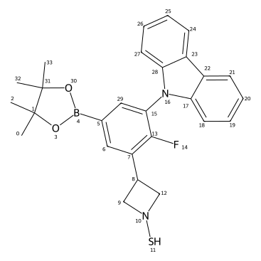 CC1(C)OB(c2cc(C3CN(S)C3)c(F)c(-n3c4ccccc4c4ccccc43)c2)OC1(C)C